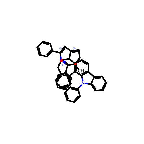 CC1C/C=C(C2CCc3ccccc3-c3c2ccc2c4ccccc4n(-c4ccccc4)c32)/C=C(c2ccccc2)\N=C/1c1ccccc1